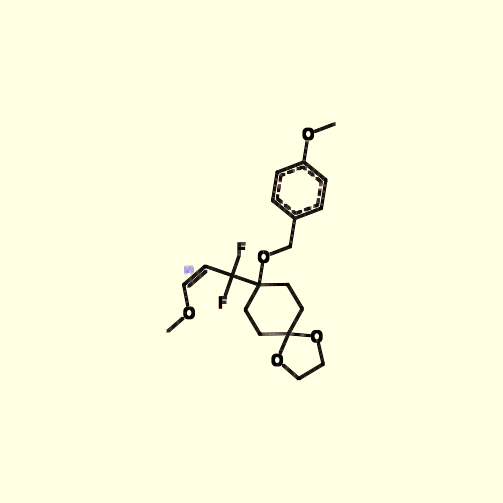 CO/C=C\C(F)(F)C1(OCc2ccc(OC)cc2)CCC2(CC1)OCCO2